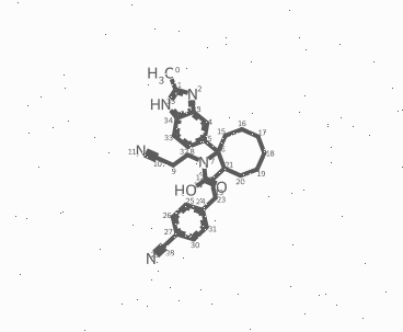 Cc1nc2cc(C3(N(CCC#N)C(=O)O)CCCCCCC3CCc3ccc(C#N)cc3)ccc2[nH]1